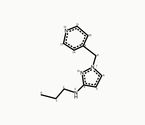 CCCNc1ccn(Cc2ccncc2)n1